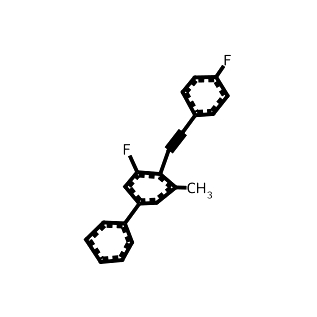 Cc1cc(-c2ccccc2)cc(F)c1C#Cc1ccc(F)cc1